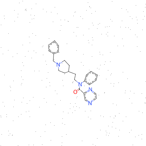 O=C(c1cnccn1)N(CCC1CCN(Cc2ccccc2)CC1)c1ccccc1